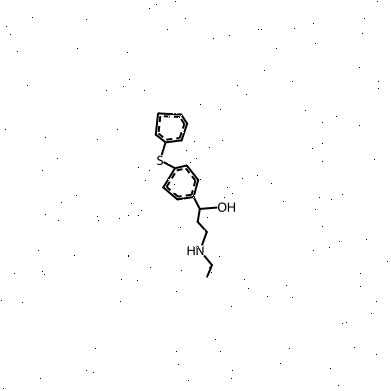 CCNCCC(O)c1ccc(Sc2ccccc2)cc1